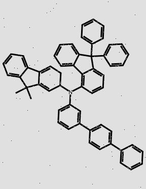 CC1(C)C2=CC(N(c3cccc(-c4ccc(-c5ccccc5)cc4)c3)c3cccc4c3-c3ccccc3C4(c3ccccc3)c3ccccc3)CC=C2c2ccccc21